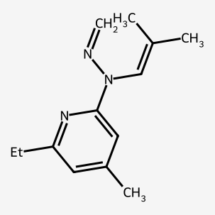 C=NN(C=C(C)C)c1cc(C)cc(CC)n1